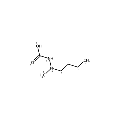 CCCCN(C)NC(=O)O